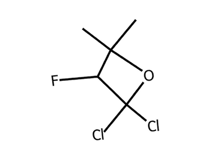 CC1(C)OC(Cl)(Cl)C1F